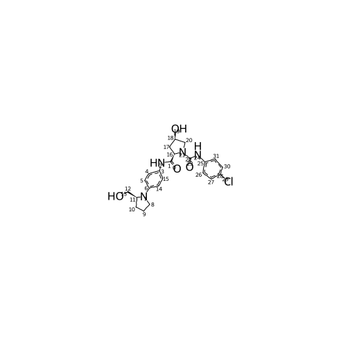 O=C(Nc1ccc(N2CCC[C@H]2CO)cc1)[C@H]1C[C@@H](O)CN1C(=O)Nc1ccc(Cl)cc1